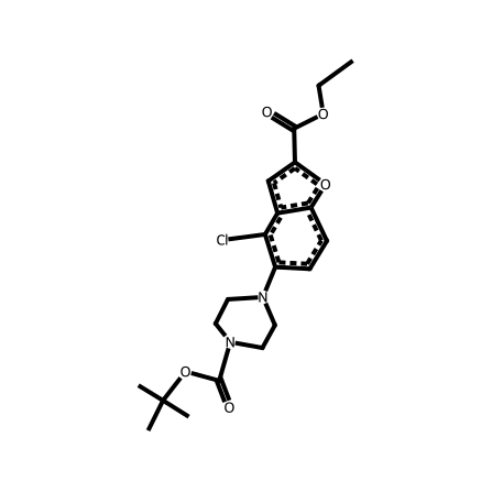 CCOC(=O)c1cc2c(Cl)c(N3CCN(C(=O)OC(C)(C)C)CC3)ccc2o1